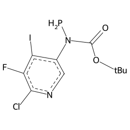 CC(C)(C)OC(=O)N(P)c1cnc(Cl)c(F)c1I